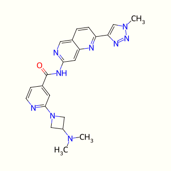 CN(C)C1CN(c2cc(C(=O)Nc3cc4nc(-c5cn(C)nn5)ccc4cn3)ccn2)C1